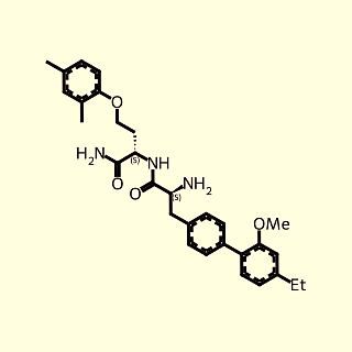 CCc1ccc(-c2ccc(C[C@H](N)C(=O)N[C@@H](CCOc3ccc(C)cc3C)C(N)=O)cc2)c(OC)c1